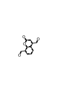 O=Cc1cc(=O)oc2c(C=O)cccc12